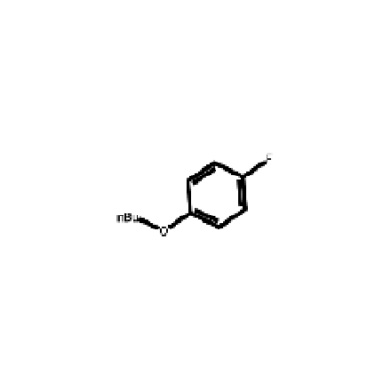 CCCCOc1c[c]c(F)cc1